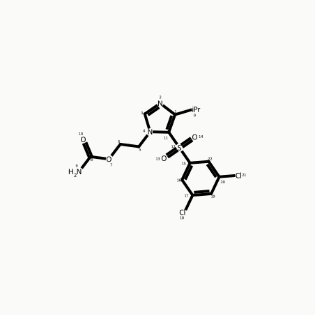 CC(C)c1ncn(CCOC(N)=O)c1S(=O)(=O)c1cc(Cl)cc(Cl)c1